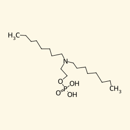 CCCCCCCCN(CCCCCCCC)CCOP(=O)(O)O